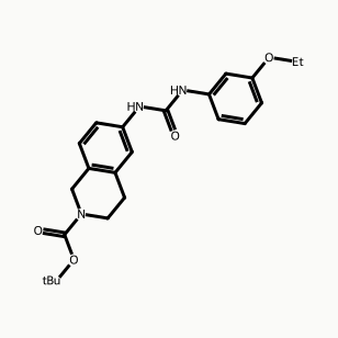 CCOc1cccc(NC(=O)Nc2ccc3c(c2)CCN(C(=O)OC(C)(C)C)C3)c1